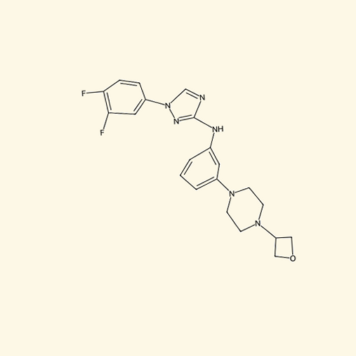 Fc1ccc(-n2cnc(Nc3cccc(N4CCN(C5COC5)CC4)c3)n2)cc1F